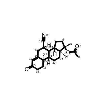 CC(=O)O[C@@]1(C)CC[C@H]2[C@@H]3[C@H](C#N)CC4=CC(=O)CC[C@]4(C)[C@H]3CC[C@@]21C